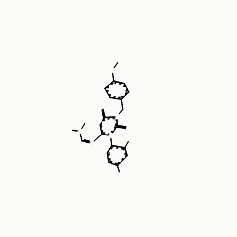 COc1ccc(Cn2c(=O)cc(/N=C\N(C)C)n(-c3ccc(I)cc3F)c2=O)cc1